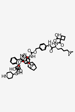 CN(C)CCCC[C@H](NC(=O)C1(C(=O)O)CCC1)C(=O)Nc1ccc(COC(=O)Nc2nnc(-c3ccccc3OP(=O)(O)O)cc2N2CC3CCC(C2)N3c2ccnc(OC3CC(OC4CCNCC4)C3)c2)cc1